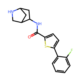 O=C(NC1CC2CC1CN2)c1ccc(-c2ccccc2F)s1